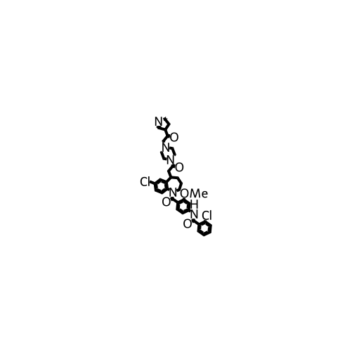 COc1cc(NC(=O)c2ccccc2Cl)ccc1C(=O)N1CCCC(CC(=O)N2CCN(CC(=O)C3C#[N+]CC3)CC2)c2cc(Cl)ccc21